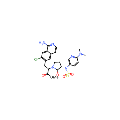 COC(=O)[C@@H](Cc1cc2ccnc(N)c2cc1Cl)N1CC[C@H](N(c2ccc(N(C)C)nc2)[SH](=O)=O)C1=O